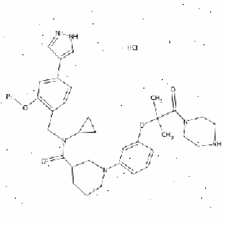 CC(C)Oc1cc(-c2cn[nH]c2)ccc1CN(C(=O)C1CCCN(c2cccc(OC(C)(C)C(=O)N3CCNCC3)c2)C1)C1CC1.Cl